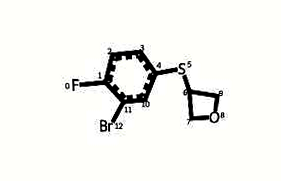 Fc1ccc(SC2COC2)cc1Br